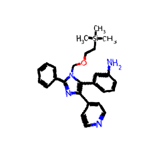 C[Si](C)(C)CCOCn1c(-c2ccccc2)nc(-c2ccncc2)c1-c1cccc(N)c1